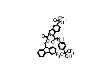 CS(=O)(=O)c1ccc2c(c1)CN(C(=O)OCC1c3ccccc3-c3ccccc31)C2C(=O)Nc1ccc(C(O)(C(F)(F)F)C(F)(F)F)cc1